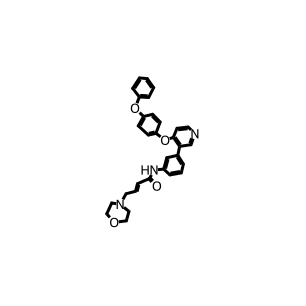 O=C(C=CCN1CCOCC1)Nc1cccc(-c2cnccc2Oc2ccc(Oc3ccccc3)cc2)c1